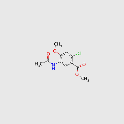 COC(=O)c1cc(NC(C)=O)c(OC)cc1Cl